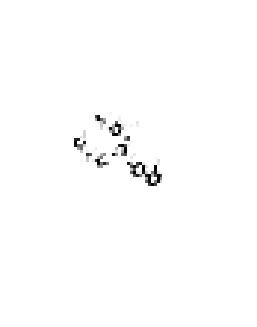 CCC(=O)NC1CC(n2cnc3c(NCc4ccc(-c5ccccc5C#N)cc4)nc(N4CC[C@@H](NC(=O)NC5CCN(C)C5)C4)nc32)[C@H](O)[C@@H]1O